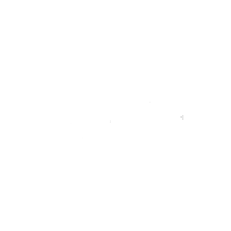 CCOC(=O)/C(=C\c1cccc(OCc2ccccc2)c1)CC(=O)O